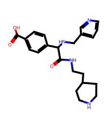 O=C(O)c1ccc(C(NCc2cccnc2)C(=O)NCCC2CCNCC2)cc1